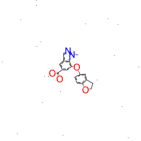 COC(=O)c1cc(Oc2ccc3c(c2)CCO3)c2c(cnn2C)c1